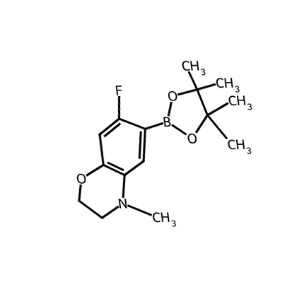 CN1CCOc2cc(F)c(B3OC(C)(C)C(C)(C)O3)cc21